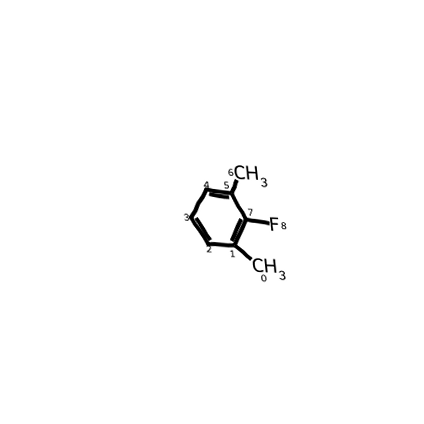 Cc1cccc(C)c1F